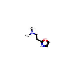 CN(C)CCc1ncco1